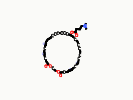 CN(C)CCCC(=O)OC1CCCCCCCC/C=C\C/C=C\CCC(=O)OCCOC(=O)CC/C=C\C/C=C\CCCCCCCC1